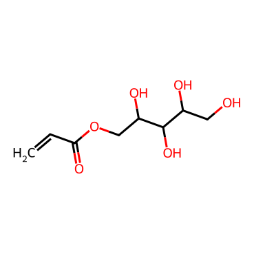 C=CC(=O)OCC(O)C(O)C(O)CO